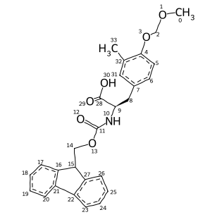 COCOc1ccc(C[C@@H](NC(=O)OCC2c3ccccc3-c3ccccc32)C(=O)O)cc1C